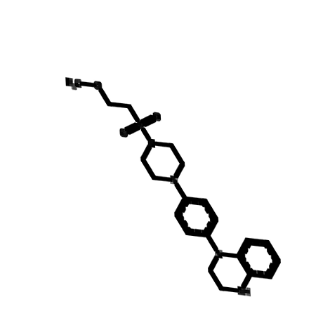 COCCS(=O)(=O)N1CCN(c2ccc(N3CCNc4ccccc43)cc2)CC1